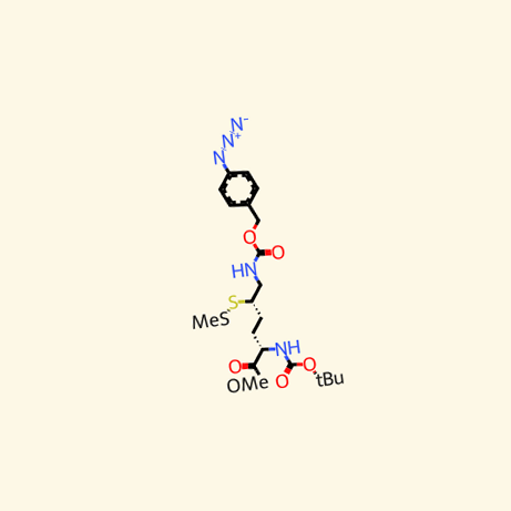 COC(=O)[C@H](CC[C@@H](CNC(=O)OCc1ccc(N=[N+]=[N-])cc1)SSC)NC(=O)OC(C)(C)C